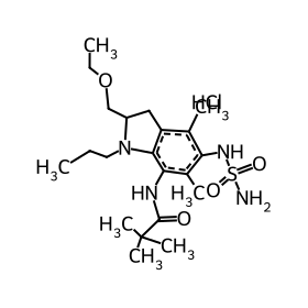 CCCN1c2c(c(C)c(NS(N)(=O)=O)c(C)c2NC(=O)C(C)(C)C)CC1COCC.Cl